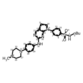 CCCCNS(=O)(=O)c1ccc(-n2ccc3cnc(Nc4ccc(N5CCN(C)CC5)cc4)nc32)cc1